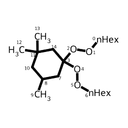 CCCCCCOOC1(OOCCCCCC)CC(C)CC(C)(C)C1